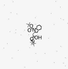 CC(C)(C)OC(=O)n1c(C[C@@H](O)O[Si](C)(C)C(C)(C)C)cc2ccccc21